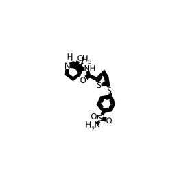 C[C@H]1[C@H](NC(=O)c2ccc(Sc3ccc(S(N)(=O)=O)cc3)s2)C2CCN1CC2